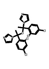 CC(OC(C)(c1ccc(Cl)cc1Cl)n1ccnc1)(c1ccc(Cl)cc1Cl)n1ccnc1